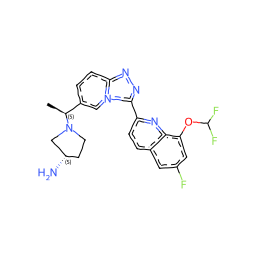 C[C@@H](c1ccc2nnc(-c3ccc4cc(F)cc(OC(F)F)c4n3)n2c1)N1CC[C@H](N)C1